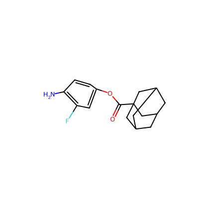 Nc1ccc(OC(=O)C23CC4CC(CC(C4)C2)C3)cc1F